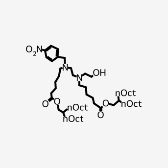 CCCCCCCCC(CCCCCCCC)COC(=O)CCCCCN(CCO)CCN(CCCCCC(=O)OCC(CCCCCCCC)CCCCCCCC)Cc1ccc([N+](=O)[O-])cc1